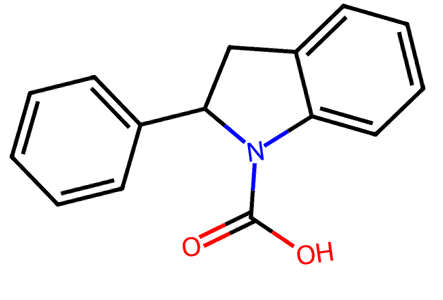 O=C(O)N1c2ccccc2CC1c1ccccc1